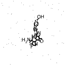 N#Cc1c(N)sc2c(F)cnc(-c3c4c(c5cnc(N6CC[C@@H](N7CCN(CCO)CC7)C6)nc5c3F)COC4)c12